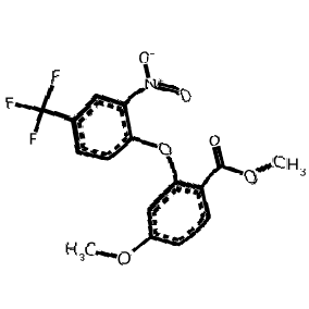 COC(=O)c1ccc(OC)cc1Oc1ccc(C(F)(F)F)cc1[N+](=O)[O-]